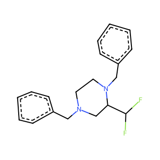 FC(F)C1CN(Cc2ccccc2)CCN1Cc1ccccc1